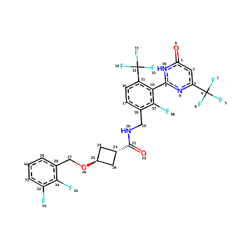 O=c1cc(C(F)(F)F)nc(-c2c(C(F)(F)F)ccc(CNC(=O)[C@H]3C[C@H](OCc4cccc(F)c4F)C3)c2F)[nH]1